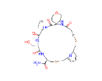 CC(C)C[C@@H]1NC(=O)C2(CCOCC2)NC(=O)CCSCc2cccc(n2)CSC[C@@H](C(N)=O)NC(=O)[C@H](CO)NC1=O